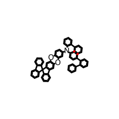 c1ccc(-c2ccccc2-c2ccc(N(c3ccc4c(c3)Oc3cc5c(cc3O4)C3(c4ccccc4-c4ccccc43)c3ccccc3-5)c3ccccc3-c3ccccc3)cc2)cc1